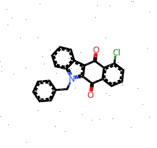 O=C1c2c(Cl)cccc2C(=O)c2c1c1ccccc1n2Cc1ccccc1